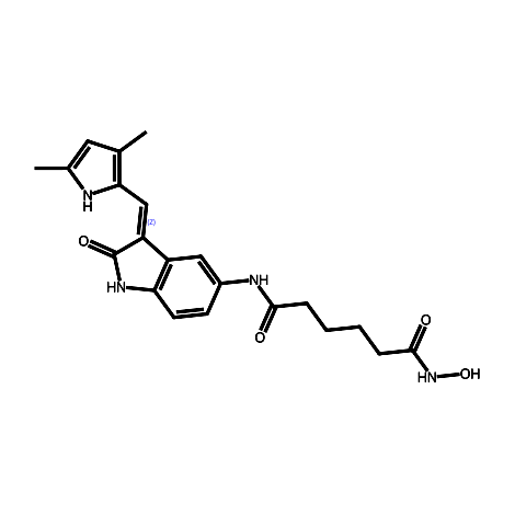 Cc1cc(C)c(/C=C2\C(=O)Nc3ccc(NC(=O)CCCCC(=O)NO)cc32)[nH]1